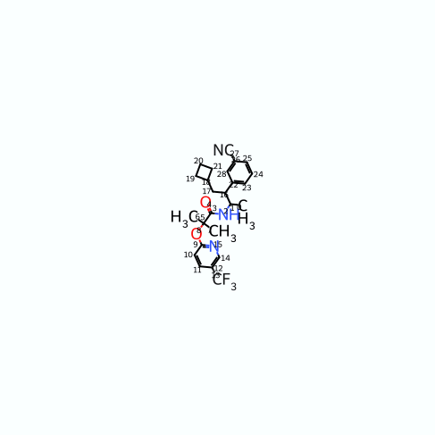 CC(NC(=O)C(C)(C)Oc1ccc(C(F)(F)F)cn1)C(CC1CCC1)c1cccc(C#N)c1